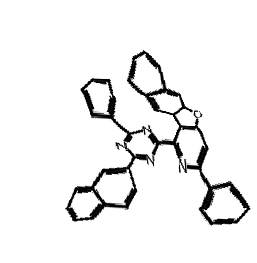 C1=c2ccccc2=CC2c3c(cc(-c4ccccc4)nc3-c3nc(-c4ccccc4)nc(-c4ccc5ccccc5c4)n3)OC12